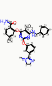 CN1CCN=C1c1cccc(Oc2nc(NCc3ccccc3)c([N+](=O)[O-])c(Oc3cc(C#N)ccc3C(N)=O)n2)c1